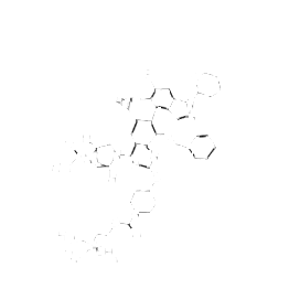 Cc1c(F)cc2c(cnn2C2CCCCO2)c1-c1c(C2CC2)cc2c(N3C[C@@H]4C[C@H]3CN4C(=O)O)nc(OC3CCN(C(=O)OCC[Si](C)(C)C)CC3)nc2c1OCc1ccccc1